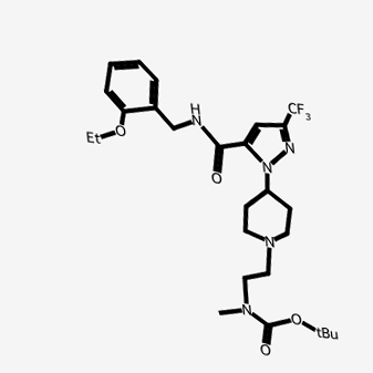 CCOc1ccccc1CNC(=O)c1cc(C(F)(F)F)nn1C1CCN(CCN(C)C(=O)OC(C)(C)C)CC1